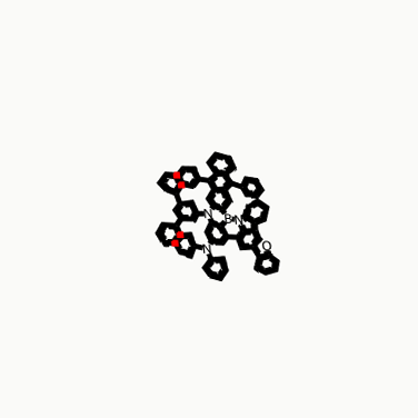 c1ccc(-c2cc(-c3ccccc3)cc(N3c4cc5c(-c6ccccc6)c6ccccc6c(-c6ccccc6)c5cc4B4c5c(cc(N(c6ccccc6)c6ccccc6)cc53)-c3cc5c6ccccc6oc5c5c6ccccc6n4c35)c2)cc1